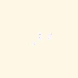 CC(C)CN1CCC(NC(=O)CCCNI)CC1